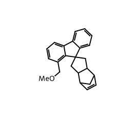 COCc1cccc2c1C1(CC3C4C=CC(C4)C3C1)c1ccccc1-2